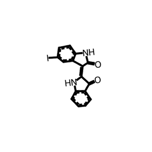 O=C1Nc2ccc(I)cc2C1=C1Nc2ccccc2C1=O